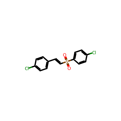 O=S(=O)(C=Cc1ccc(Cl)cc1)c1ccc(Cl)cc1